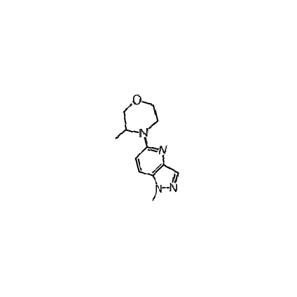 CC1COCCN1c1ccc2c(cnn2C)n1